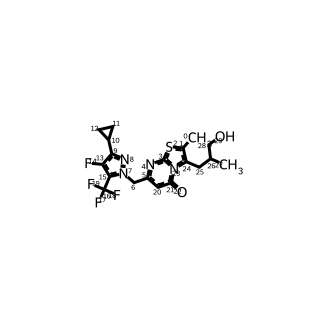 Cc1sc2nc(Cn3nc(C4CC4)c(F)c3C(F)(F)F)cc(=O)n2c1CC(C)CO